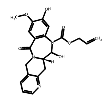 C=CCOC(=O)N1c2cc(O)c(OC)cc2C(=O)N2Cc3cccnc3C[C@H]2C1O